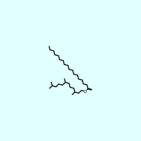 C=C(CCCCCCCCCCCCCCCCC)OCCC(C)CCCC(C)CCCC(C)C